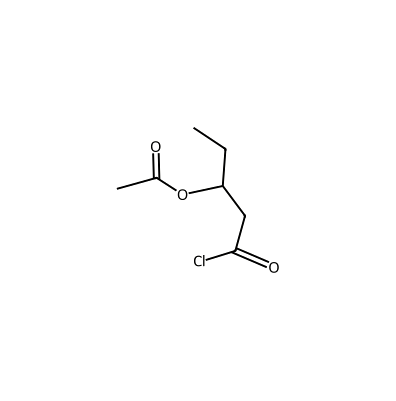 CCC(CC(=O)Cl)OC(C)=O